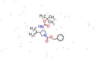 C=C(C)C1CN(C(=O)OCc2ccccc2)C[C@H]1NC(=O)OC(C)(C)C